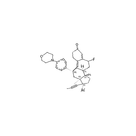 CC#C[C@]1(C(C)=O)CC[C@H]2[C@@H]3CC(F)C4=CC(=O)CCC4=C3[C@@H](c3ccc(N4CCOCC4)cc3)C[C@@]21C